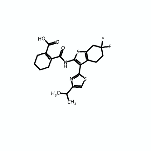 CC(C)c1csc(-c2c(NC(=O)C3=C(C(=O)O)CCCC3)sc3c2CCC(F)(F)C3)n1